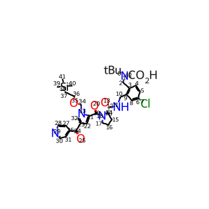 CC(C)(C)N(Cc1ccc(Cl)cc1CNC(=O)[C@@H]1CCCN1C(=O)c1cc(C(=O)c2ccncc2)cn1COCC[Si](C)(C)C)C(=O)O